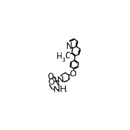 Cc1c(-c2ccc(OC3CCN(C4(C=O)CNCCO4)CC3)cc2)ccc2cccnc12